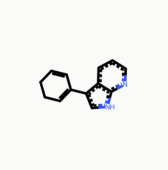 C1=CC(c2c[nH]c3ncccc23)=CCC1